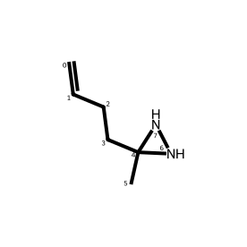 C=CCCC1(C)NN1